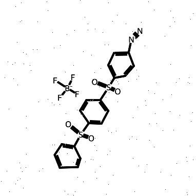 F[B-](F)(F)F.N#[N+]c1ccc(S(=O)(=O)c2ccc(S(=O)(=O)c3ccccc3)cc2)cc1